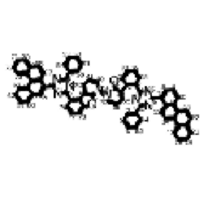 c1ccc(-c2nc(-c3cccc4c3ccc3c5ccccc5ccc43)nc(-c3cccc4oc5c(ccc[n+]5-[n+]5cccc6c7c(-c8nc(-c9ccccc9)nc(-c9cc%10ccccc%10c%10c9ccc9ccccc9%10)n8)cccc7oc65)c34)n2)cc1